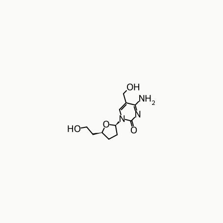 Nc1nc(=O)n([C@H]2CC[C@@H](CCO)O2)cc1CO